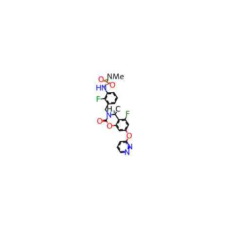 CNS(=O)(=O)Nc1cccc(CN2C(=O)Oc3cc(Oc4cccnn4)cc(F)c3[C@@H]2C)c1F